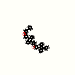 c1ccc(-c2ccc3oc4ccc(-c5c6ccccc6c(-c6ccc7c(c6)oc6ccc(-c8c9ccccc9c(-c9ccccc9)c9ccccc89)cc67)c6ccccc56)cc4c3c2)cc1